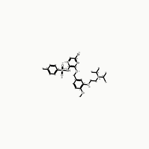 COc1ccc(COc2nc(Br)cnc2NS(=O)(=O)c2ccc(C)cc2)cc1OCCN(C(C)C)C(C)C